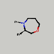 CC(C)[C@@H]1COCCCN1C(C)C